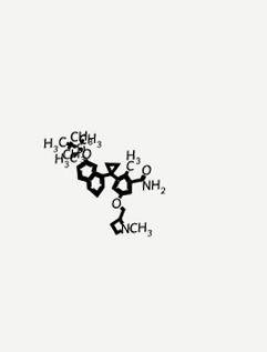 Cc1c(C(N)=O)cc(OCC2CCN2C)cc1C1(c2cccc3ccc(O[Si](C)(C)C(C)(C)C)cc23)CC1